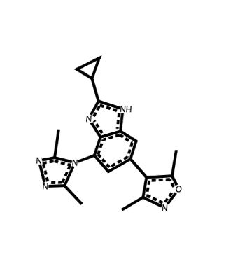 Cc1noc(C)c1-c1cc(-n2c(C)nnc2C)c2nc(C3CC3)[nH]c2c1